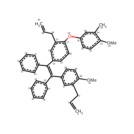 C=CCc1cc(/C(=C(/c2ccccc2)c2ccc(Oc3ccc(OC)c(C)c3)c(CC=C)c2)c2ccccc2)ccc1OC